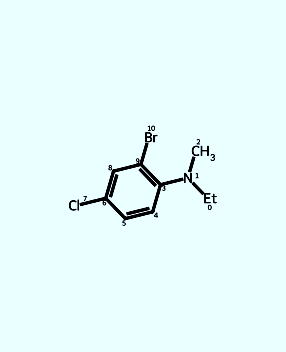 CCN(C)c1ccc(Cl)cc1Br